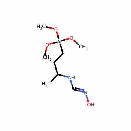 CO[Si](CCC(C)NC=NO)(OC)OC